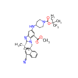 COC(=O)c1cc(NC2CCN(C(=O)OC(C)(C)C)CC2)cc2nc(C(C)C)n(Cc3ccc(C#N)c4ccccc34)c12